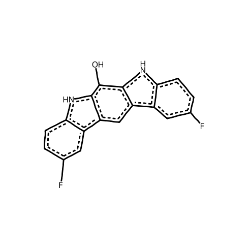 Oc1c2[nH]c3ccc(F)cc3c2cc2c1[nH]c1ccc(F)cc12